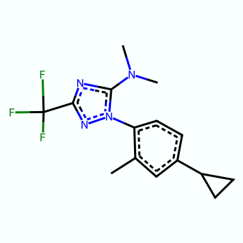 Cc1cc(C2CC2)ccc1-n1nc(C(F)(F)F)nc1N(C)C